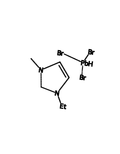 CCN1C=CN(C)C1.[Br][PbH]([Br])[Br]